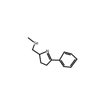 C[Se]CC1CCC(c2ccccc2)=N1